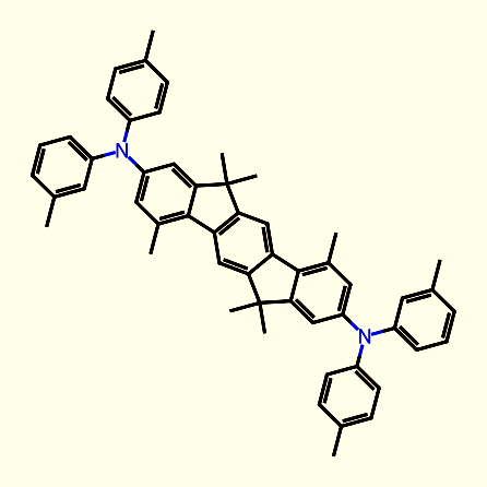 Cc1ccc(N(c2cccc(C)c2)c2cc(C)c3c(c2)C(C)(C)c2cc4c(cc2-3)C(C)(C)c2cc(N(c3ccc(C)cc3)c3cccc(C)c3)cc(C)c2-4)cc1